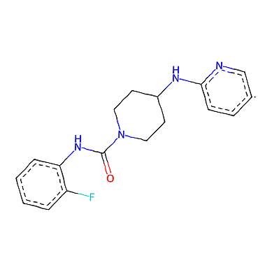 O=C(Nc1ccccc1F)N1CCC(Nc2cc[c]cn2)CC1